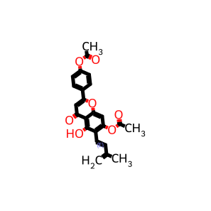 C=C(C)/C=C/c1c(OC(C)=O)cc2oc(-c3ccc(OC(C)=O)cc3)cc(=O)c2c1O